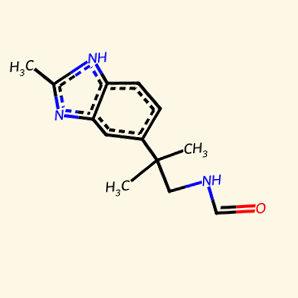 Cc1nc2cc(C(C)(C)CNC=O)ccc2[nH]1